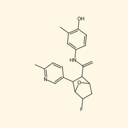 C=C(Nc1ccc(O)c(C)c1)C1C2CC(F)C(O2)C1c1ccc(C)nc1